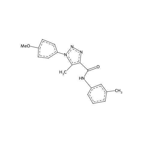 COc1ccc(-n2nnc(C(=O)Nc3cccc(C)c3)c2C)cc1